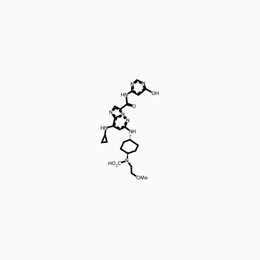 COCCN(C(=O)O)[C@H]1CC[C@H](Nc2cc(NC3CC3)c3ncc(C(=O)Nc4cc(O)ncn4)n3n2)CC1